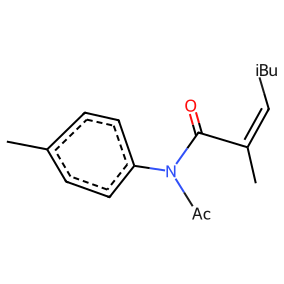 CCC(C)/C=C(/C)C(=O)N(C(C)=O)c1ccc(C)cc1